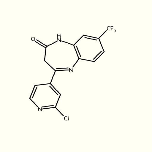 O=C1CC(c2ccnc(Cl)c2)=Nc2ccc(C(F)(F)F)cc2N1